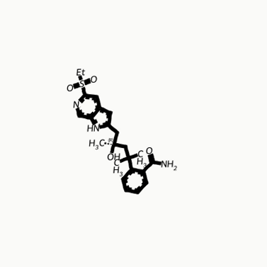 CCS(=O)(=O)c1cc2cc(C[C@](C)(O)CC(C)(C)c3ccccc3C(N)=O)[nH]c2cn1